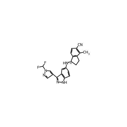 Cc1c(C#N)ccc2c1CC[C@H]2Nc1ccc2[nH]nc(-c3cnn(C(F)F)c3)c2c1